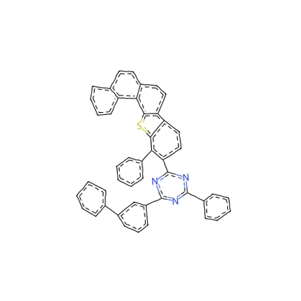 c1ccc(-c2cccc(-c3nc(-c4ccccc4)nc(-c4ccc5c(sc6c5ccc5ccc7ccccc7c56)c4-c4ccccc4)n3)c2)cc1